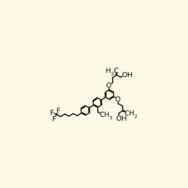 C=C(CO)CCOc1cc(OCCC(=C)CO)cc(-c2ccc(-c3ccc(CCCCCC(F)(F)F)cc3)c(CC)c2)c1